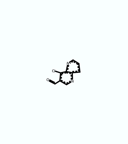 O=Cc1cnc2cccnc2c1Cl